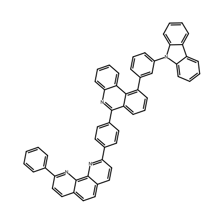 c1ccc(-c2ccc3ccc4ccc(-c5ccc(-c6nc7ccccc7c7c(-c8cccc(-n9c%10ccccc%10c%10ccccc%109)c8)cccc67)cc5)nc4c3n2)cc1